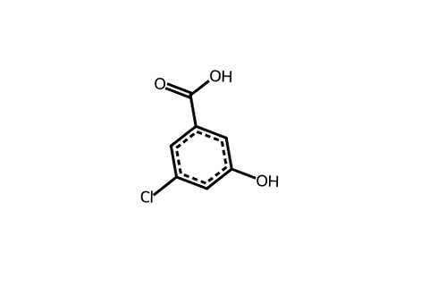 O=C(O)c1cc(O)cc(Cl)c1